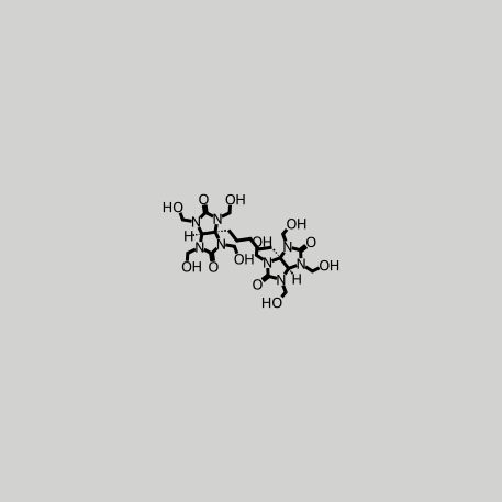 O=C1N(CO)[C@H]2N(CO)C(=O)N(CO)[C@@]2(CCCCC[C@]23[C@H](N(CO)C(=O)N2CO)N(CO)C(=O)N3CO)N1CO